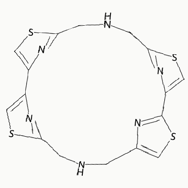 c1sc2nc1CNCc1nc(cs1)-c1csc(n1)CNCc1nc-2cs1